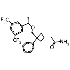 C[C@@H](OC[C@]1(c2ccccc2)C[C@@H](CC(N)=O)C1)c1cc(C(F)(F)F)cc(C(F)(F)F)c1